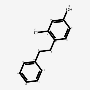 Oc1ccc(CCc2ccccc2)c(Cl)c1